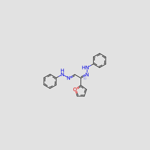 C(=NNc1ccccc1)/C(=N\Nc1ccccc1)c1ccco1